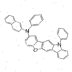 c1ccc(N(c2ccc3ccccc3c2)c2ccc3oc4cc5c6ccccc6n(-c6ccccc6)c5cc4c3c2)cc1